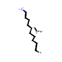 CC(C)CCCCCCCCCCN.CCCCCCCC